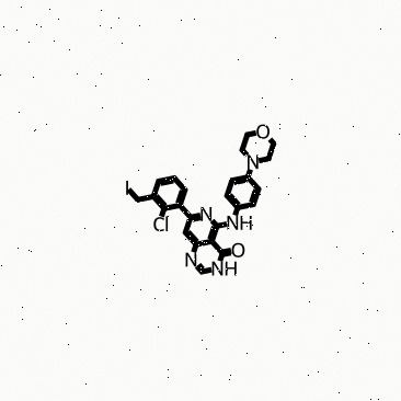 O=c1[nH]cnc2cc(-c3cccc(CI)c3Cl)nc(Nc3ccc(N4CCOCC4)cc3)c12